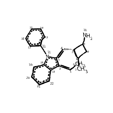 C/C=c1\c(=C/[C@H]2C(C)CC2N)n(-c2ccccc2)c2ccccc12